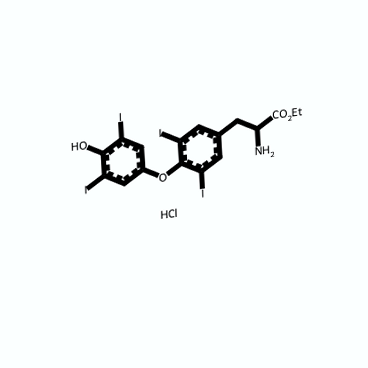 CCOC(=O)C(N)Cc1cc(I)c(Oc2cc(I)c(O)c(I)c2)c(I)c1.Cl